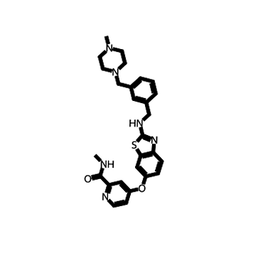 CNC(=O)c1cc(Oc2ccc3nc(NCc4cccc(CN5CCN(C)CC5)c4)sc3c2)ccn1